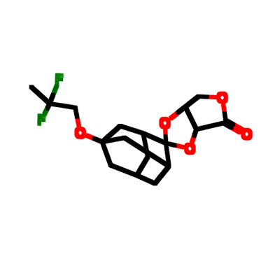 CC(F)(F)COC12CC3CC(C1)C1(OC4COC(=O)C4O1)C(C3)C2